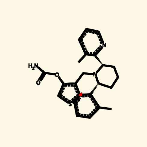 Cc1cccnc1[C@H]1CCC[C@@H](c2ncccc2C)N1Cc1cscc1OC(N)=O